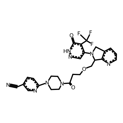 N#Cc1ccc(N2CCN(C(=O)CCOCC3c4ncccc4CN3c3cn[nH]c(=O)c3C(F)(F)F)CC2)nc1